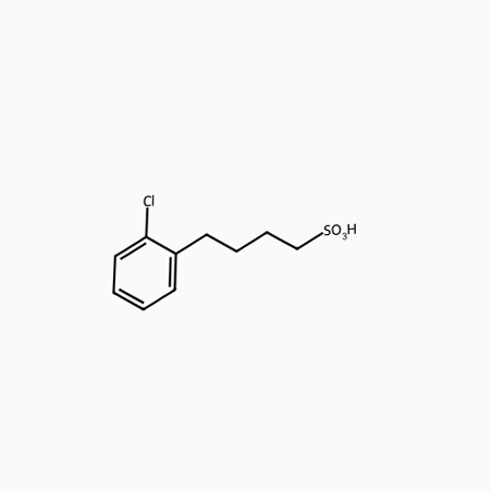 O=S(=O)(O)CCCCc1ccccc1Cl